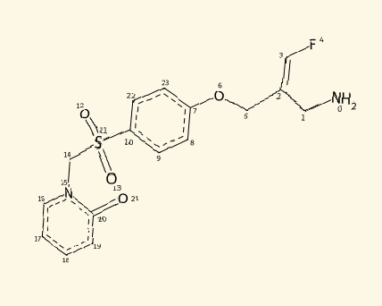 NCC(=CF)COc1ccc(S(=O)(=O)Cn2ccccc2=O)cc1